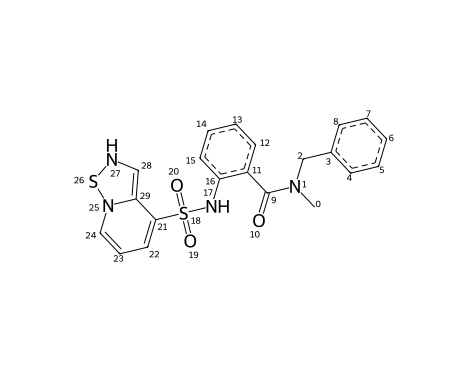 CN(Cc1ccccc1)C(=O)c1ccccc1NS(=O)(=O)C1=CC=CN2SNC=C12